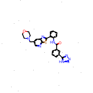 O=C(Nc1ccccc1-c1nc2cc(CN3CCOCC3)cnc2s1)c1cccc(-c2nnn[nH]2)c1